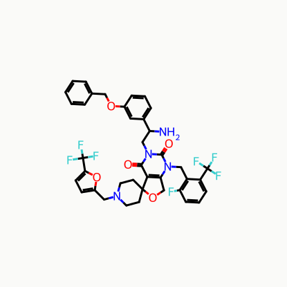 NC(Cn1c(=O)c2c(n(Cc3c(F)cccc3C(F)(F)F)c1=O)COC21CCN(Cc2ccc(C(F)(F)F)o2)CC1)c1cccc(OCc2ccccc2)c1